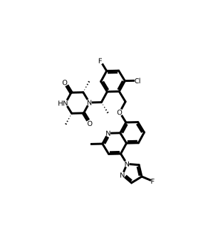 Cc1cc(-n2cc(F)cn2)c2cccc(OCc3c(Cl)cc(F)cc3[C@H](C)N3C(=O)[C@H](C)NC(=O)[C@@H]3C)c2n1